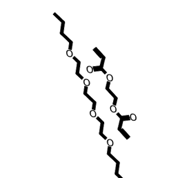 C=CC(=O)OCCOC(=O)C=C.CCCCOCCOCCOCCOCCCC